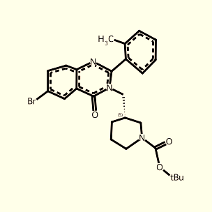 Cc1ccccc1-c1nc2ccc(Br)cc2c(=O)n1C[C@H]1CCCN(C(=O)OC(C)(C)C)C1